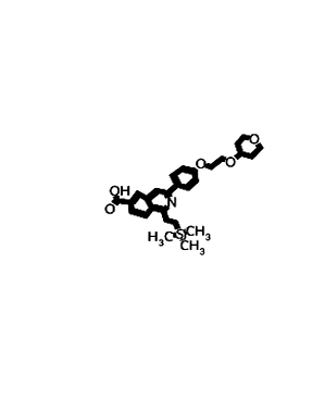 C[Si](C)(C)CCc1nc(-c2ccc(OCCOC3CCOCC3)cc2)cc2cc(C(=O)O)ccc12